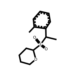 Cc1ccccc1C(C)S(=O)(=O)C1CCCCO1